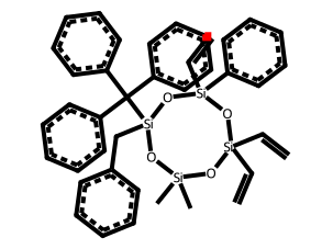 C=C[Si]1(C=C)O[Si](C)(C)O[Si](Cc2ccccc2)(C(c2ccccc2)(c2ccccc2)c2ccccc2)O[Si](C=C)(c2ccccc2)O1